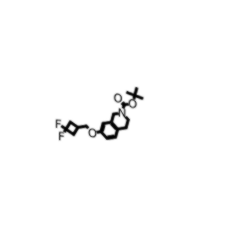 CC(C)(C)OC(=O)N1CCc2ccc(OCC3CC(F)(F)C3)cc2C1